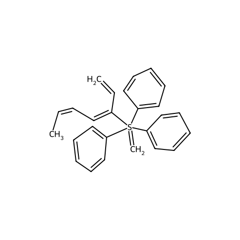 C=C/C(=C\C=C/C)S(=C)(c1ccccc1)(c1ccccc1)c1ccccc1